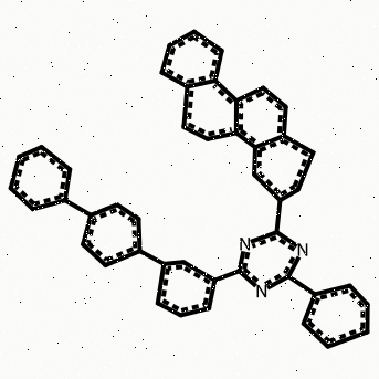 c1ccc(-c2ccc(-c3cccc(-c4nc(-c5ccccc5)nc(-c5ccc6ccc7c8ccccc8ccc7c6c5)n4)c3)cc2)cc1